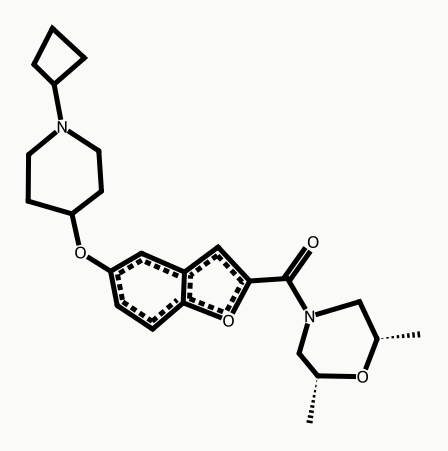 C[C@@H]1CN(C(=O)c2cc3cc(OC4CCN(C5CCC5)CC4)ccc3o2)C[C@H](C)O1